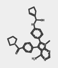 Cn1c(-c2ccc(NC(O)C3=CCCC3)cc2)c(-c2ccc(C(=O)N3CCCC3)cc2)c2c(N)ncnc21